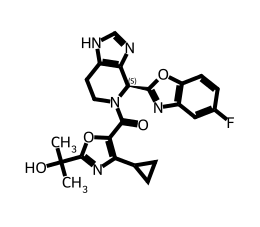 CC(C)(O)c1nc(C2CC2)c(C(=O)N2CCc3[nH]cnc3[C@H]2c2nc3cc(F)ccc3o2)o1